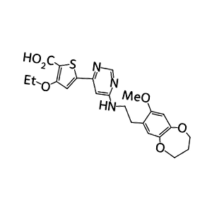 CCOc1cc(-c2cc(NCCc3cc4c(cc3OC)OCCCO4)ncn2)sc1C(=O)O